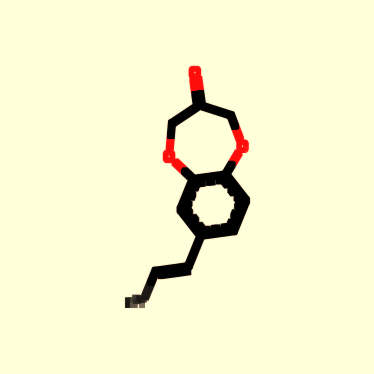 CCCC=Cc1ccc2c(c1)OCC(=O)CO2